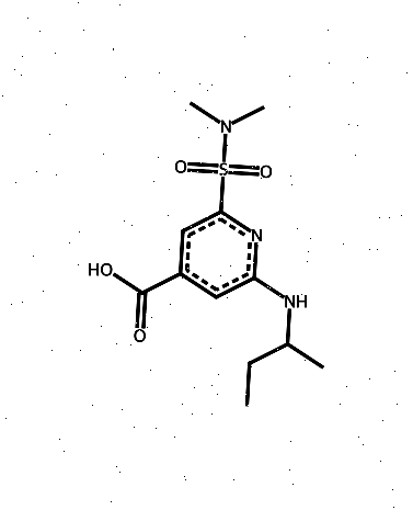 CCC(C)Nc1cc(C(=O)O)cc(S(=O)(=O)N(C)C)n1